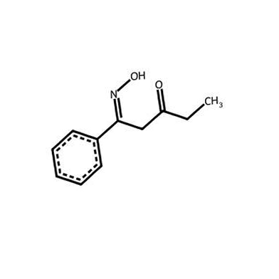 CCC(=O)CC(=NO)c1ccccc1